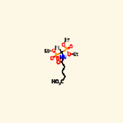 CCOP(=O)(O)C(CC)(NC(=O)CCCC(=O)O)P(=O)(OCC)OCC